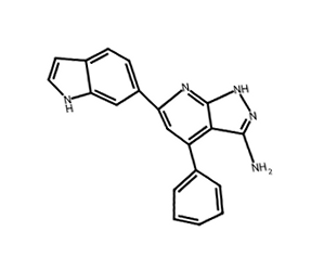 Nc1n[nH]c2nc(-c3ccc4cc[nH]c4c3)cc(-c3ccccc3)c12